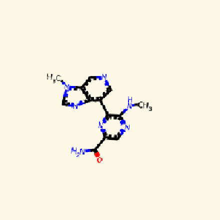 CNc1ncc(C(N)=O)nc1-c1cncc2c1ncn2C